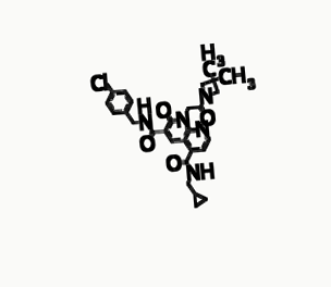 CC1(C)CN(C(=O)Cn2c(=O)c(C(=O)NCc3ccc(Cl)cc3)cc3c(C(=O)NCC4CC4)ccnc32)C1